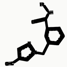 CCNC(=O)c1cccc(Cn2cc(C=O)cn2)c1